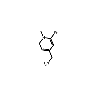 CCC1=CC(CN)=CCN1C